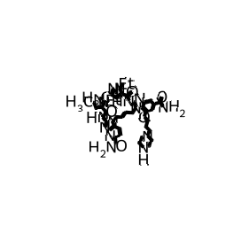 CCn1nc(C)cc1C(=O)Nc1nc2nc(C(N)=O)ccc2n1C/C=C/Cn1c(NC(=O)c2cc(C)nn2CC)nc2cc(C(N)=O)cc(OCCCN3CCNCC3)c21